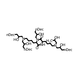 CCCCCCCCCCCC(O)CN(CCCCC1NC(=O)C(CCCCN(CC(O)CCCCCCCCCCC)CC(O)CCCCCCCCCCC)N(CC(O)CCCCCCCCCCC)C1=O)CC(C)O